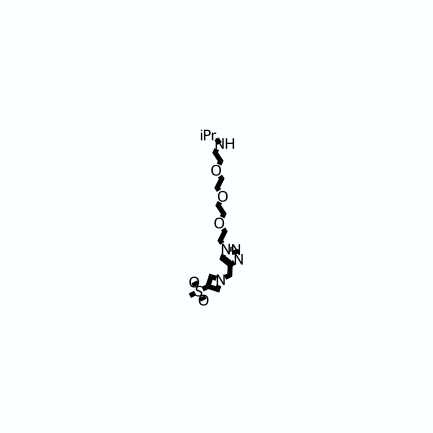 CC(C)NCCOCCOCCOCCn1cc(CN2CC(S(C)(=O)=O)C2)nn1